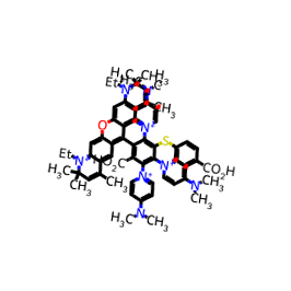 CCN1c2cc3c(cc2C(C)=CC1(C)C)C(c1c(C(=O)O)c(-[n+]2ccc(N(C)C)cc2)c(-[n+]2ccc(N(C)C)cc2)c(Sc2ccc(C(=O)O)cc2)c1-[n+]1ccc(N(C)C)cc1)=c1cc2c(cc1O3)=[N+](CC)C(C)(C)C=C2C